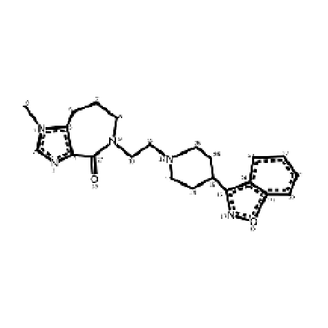 Cn1cnc2c1CCCN(CCN1CCC(c3noc4ccccc34)CC1)C2=O